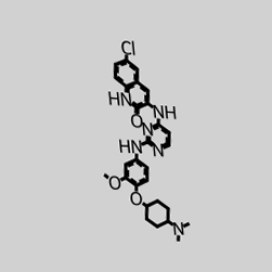 COc1cc(Nc2nccc(Nc3cc4cc(Cl)ccc4[nH]c3=O)n2)ccc1OC1CCC(N(C)C)CC1